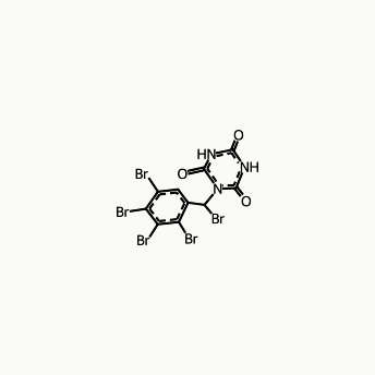 O=c1[nH]c(=O)n(C(Br)c2cc(Br)c(Br)c(Br)c2Br)c(=O)[nH]1